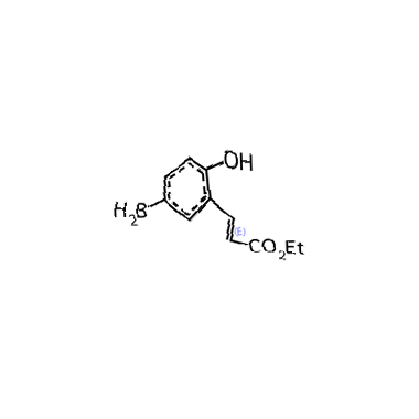 Bc1ccc(O)c(/C=C/C(=O)OCC)c1